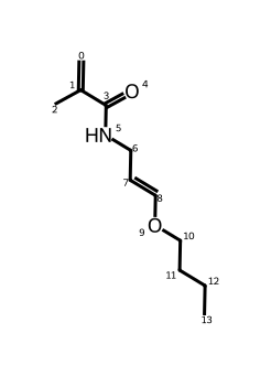 C=C(C)C(=O)NCC=COCCCC